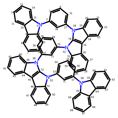 c1cc(-n2c3ccccc3c3ccccc32)cc(-n2c3ccccc3c3c4ccccc4n(-c4cccc(-n5c6ccccc6c6c7ccccc7n(-c7cccc(-n8c9ccccc9c9ccccc98)c7)c65)c4)c32)c1